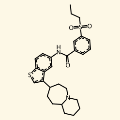 CCCS(=O)(=O)c1cccc(C(=O)Nc2ccc3scc(C4CCC5CCCCN5CC4)c3c2)c1